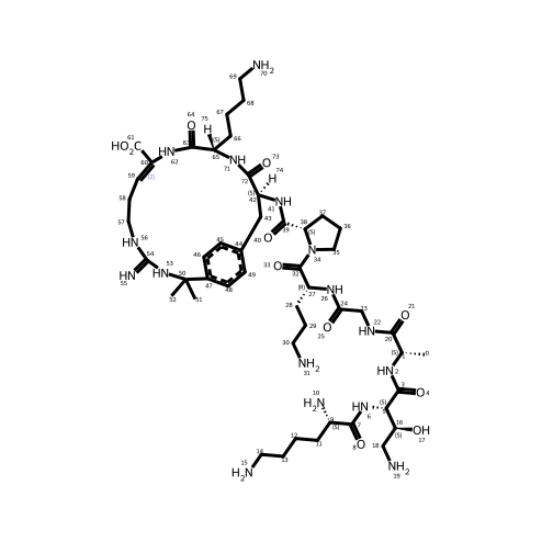 C[C@H](NC(=O)[C@@H](NC(=O)[C@@H](N)CCCCN)[C@@H](O)CN)C(=O)NCC(=O)N[C@H](CCCN)C(=O)N1CCC[C@H]1C(=O)N[C@H]1Cc2ccc(cc2)C(C)(C)NC(=N)NCC/C=C(/C(=O)O)NC(=O)[C@H](CCCCN)NC1=O